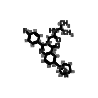 CC(C)NC(=O)Cn1c(-c2ccc(F)cc2)nc2ccc(N3CCN4CCC3CC4)cc2c1=O